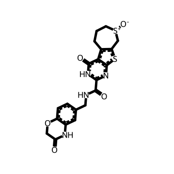 O=C1COc2ccc(CNC(=O)c3nc4sc5c(c4c(=O)[nH]3)CCC[S+]([O-])C5)cc2N1